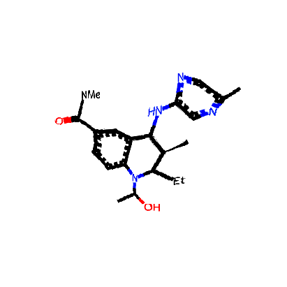 CCC1[C@H](C)C(Nc2cnc(C)cn2)c2cc(C(=O)NC)ccc2N1C(C)O